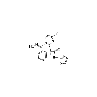 O=C(Nc1nccs1)Nc1cc(Cl)ccc1/C(=N/O)c1ccccc1